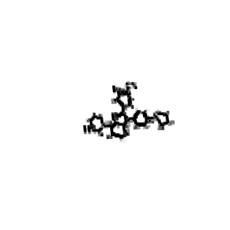 N#Cc1ccc(-c2nc3c(N4CCCNC4)ccnc3n2-c2ccc(N3CCCC3)cc2)cc1F